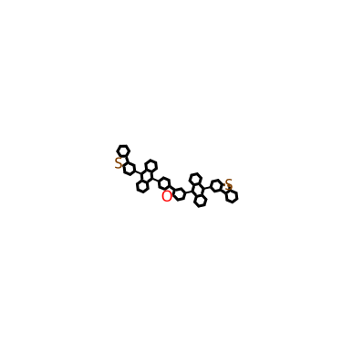 c1ccc2c(c1)sc1ccc(-c3c4ccccc4c(-c4ccc5c(c4)oc4ccc(-c6c7ccccc7c(-c7ccc8sc9ccccc9c8c7)c7ccccc67)cc45)c4ccccc34)cc12